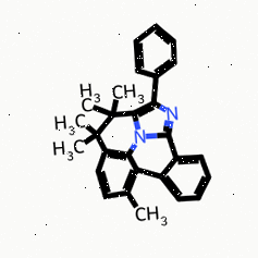 Cc1ccc2c3c1c1ccccc1c1nc(-c4ccccc4)c(n13)C(C)(C)C2(C)C